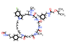 CC[C@@H](C)OCC(=O)NCc1cccc(C[C@@H]2NC(=O)CNC(=O)[C@H](C)NC(=O)CCC(=O)N(Cc3ccc(CCNC=O)cc3)CCCCCCn3cc(c4cc(F)ccc43)C[C@@H](CNC)NC2=O)c1